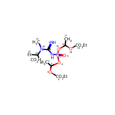 CCOC(=O)OC(C)OP(=O)(NC(=N)N(C)C(CC)C(=O)O)OC(C)OC(=O)OCC